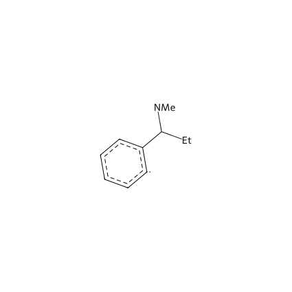 CCC(NC)c1[c]cccc1